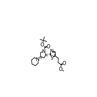 COC(=O)CCc1cnc([C@@H]2C[C@H](N3CCCCC3)CN2C(=O)OC(C)(C)C)s1